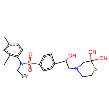 Cc1ccc(N(CC(C)C)S(=O)(=O)c2ccc(C(O)CN3CCSC(O)(O)C3)cc2)c(C)c1